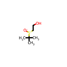 CC(C)(C)[S+]([O-])CCO